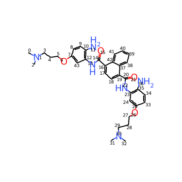 CN(C)CCCOc1ccc(N)c(NC(=O)c2ccc(C(=O)Nc3cc(OCCCN(C)C)ccc3N)c3ccccc23)c1